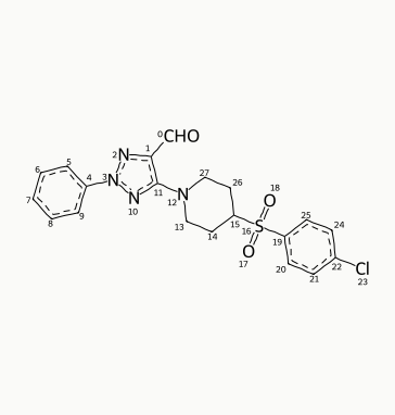 O=Cc1nn(-c2ccccc2)nc1N1CCC(S(=O)(=O)c2ccc(Cl)cc2)CC1